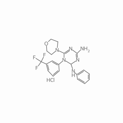 Cl.NC1=NC(Nc2ccccc2)N(c2cccc(C(F)(F)F)c2)C(N2CCOCC2)=N1